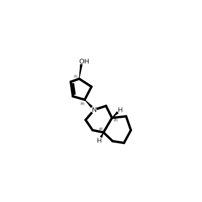 O[C@@H]1C=C[C@H](N2CC[C@H]3CCCC[C@H]3C2)C1